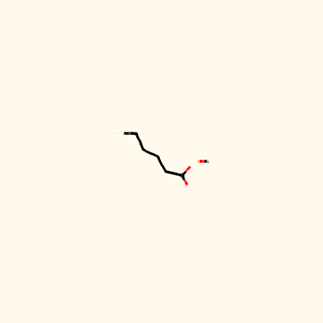 CCCCCCCCCCC([O])OCCC